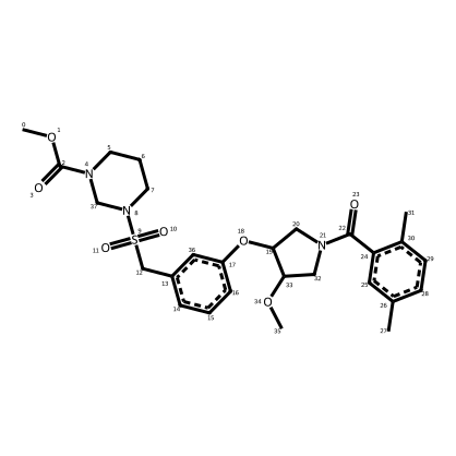 COC(=O)N1CCCN(S(=O)(=O)Cc2cccc(OC3CN(C(=O)c4cc(C)ccc4C)CC3OC)c2)C1